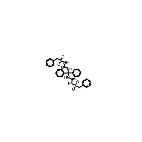 O=C(NC(NC(=O)NS(=O)(=O)Cc1ccccc1)(c1ccccc1)c1ccccc1)NS(=O)(=O)Cc1ccccc1